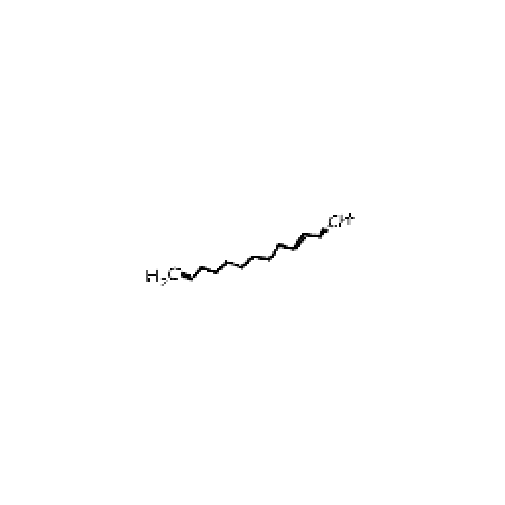 [CH]=CC=CCCCCCCCC=C